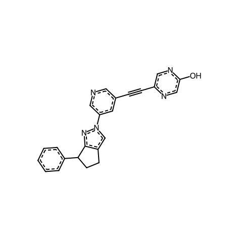 Oc1cnc(C#Cc2cncc(-n3cc4c(n3)C(c3ccccc3)CC4)c2)cn1